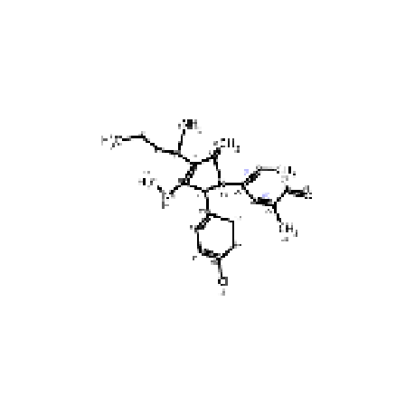 C=C1C(C(N)CCC)=C(NC)C(C2=CC=C(Cl)CC2)N1C(/C=C(/C)C=O)=C/C